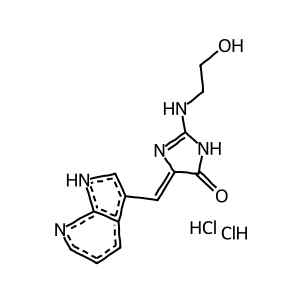 Cl.Cl.O=C1NC(NCCO)=NC1=Cc1c[nH]c2ncccc12